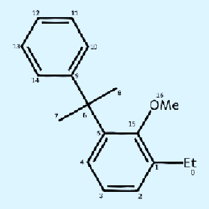 CCc1cccc(C(C)(C)c2ccccc2)c1OC